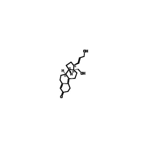 O=C1C=C2CC[C@@H]3C(=C2CC1)CC[C@]1(CO)[C@H](C=CCO)CC[C@@H]31